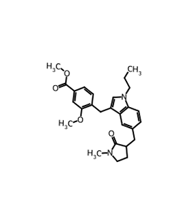 CCCn1cc(Cc2ccc(C(=O)OC)cc2OC)c2cc(CC3CCN(C)C3=O)ccc21